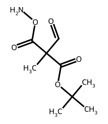 CC(C)(C)OC(=O)C(C)(C=O)C(=O)ON